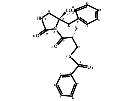 C[C@H](CSC(=O)c1ccccc1)C(=O)N1C(=O)NC[C@@]1(Cc1ccccc1)C(=O)O